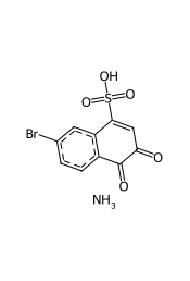 N.O=C1C=C(S(=O)(=O)O)c2cc(Br)ccc2C1=O